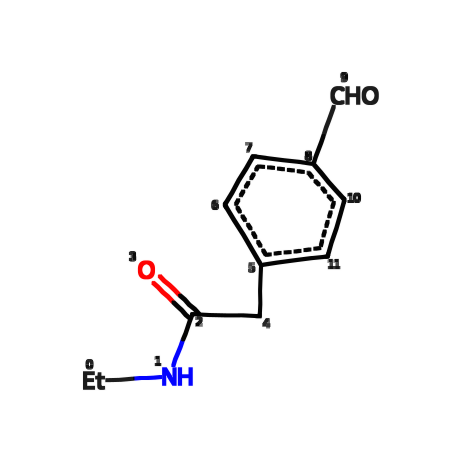 CCNC(=O)Cc1ccc(C=O)cc1